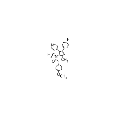 COc1ccc(CC(=O)N(C)c2c(-c3ccncc3)c(-c3ccc(F)cc3)nn2C)cc1